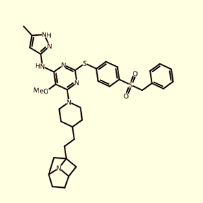 COc1c(Nc2cc(C)[nH]n2)nc(Sc2ccc(S(=O)(=O)Cc3ccccc3)cc2)nc1N1CCC(CCC23CC4CCC(C2)N43)CC1